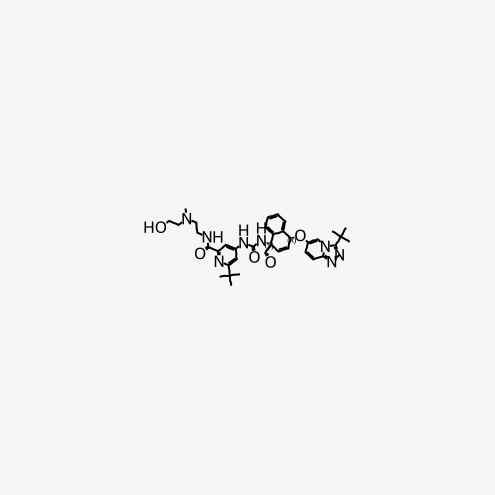 CN(CCO)CCNC(=O)c1cc(NC(=O)N[C@@]2(C=O)C=C[C@@H](Oc3ccc4nnc(C(C)(C)C)n4c3)c3ccccc32)cc(C(C)(C)C)n1